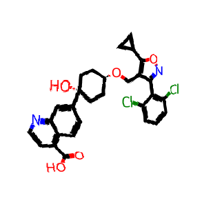 O=C(O)c1ccnc2cc([C@]3(O)CC[C@@H](OCc4c(-c5c(Cl)cccc5Cl)noc4C4CC4)CC3)ccc12